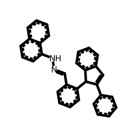 C(=NNc1cccc2ccccc12)c1ccccc1C1C(c2ccccc2)=Cc2ccccc21